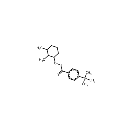 CC1CCC[C](OOC(=O)c2ccc([Si](C)(C)C)cc2)C1C